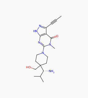 CC#Cc1n[nH]c2nc(N3CCC(CO)([C@H](N)C(C)C)CC3)n(C)c(=O)c12